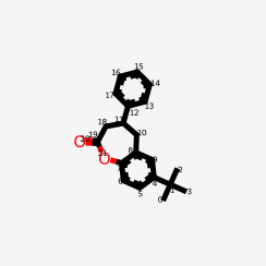 CC(C)(C)c1ccc2c(c1)CC(c1ccccc1)CC(=O)O2